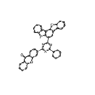 O=c1c2ccccc2oc2cc(-c3nc(-c4ccccc4)nc(-c4cc5c6ccccc6oc5c5c4sc4ccccc45)n3)ccc12